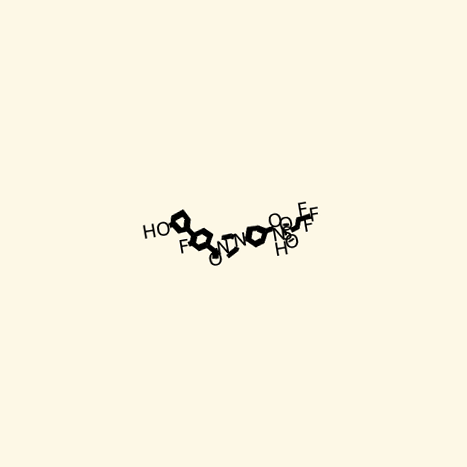 O=C(NS(=O)(=O)CCC(F)(F)F)c1ccc(N2CCN(C(=O)c3ccc(-c4cccc(O)c4)c(F)c3)CC2)cc1